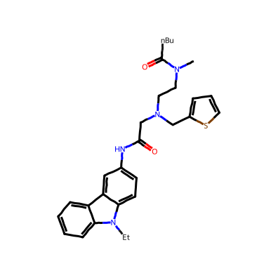 CCCCC(=O)N(C)CCN(CC(=O)Nc1ccc2c(c1)c1ccccc1n2CC)Cc1cccs1